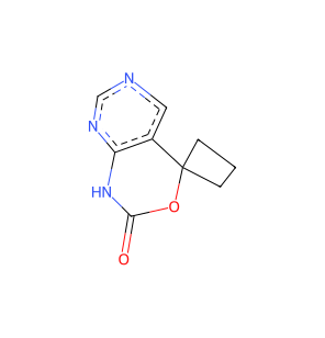 O=C1Nc2ncncc2C2(CCC2)O1